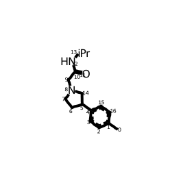 Cc1ccc(C2CCN(CC(=O)NC(C)C)C2)cc1